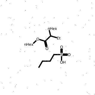 CCCCCCOC(=O)C(CC)CCCCCC.CCCCS(=O)(=O)O